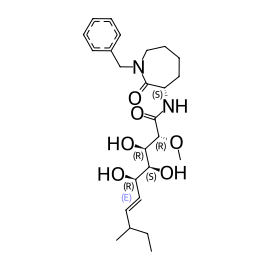 CCC(C)/C=C/[C@@H](O)[C@H](O)[C@@H](O)[C@@H](OC)C(=O)N[C@H]1CCCCN(Cc2ccccc2)C1=O